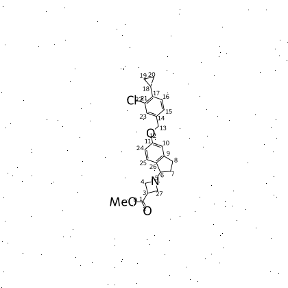 COC(=O)C1CN(C2CCc3cc(OCc4ccc(C5CC5)c(Cl)c4)ccc32)C1